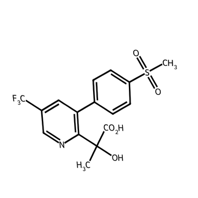 CC(O)(C(=O)O)c1ncc(C(F)(F)F)cc1-c1ccc(S(C)(=O)=O)cc1